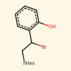 CCCCCCCC(Br)c1ccccc1O